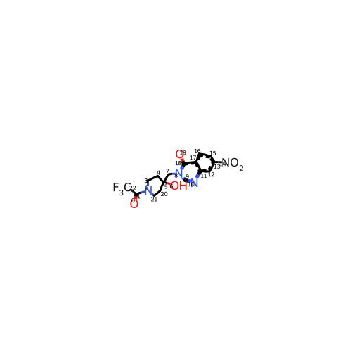 O=C(N1CCC(O)(Cn2cnc3cc([N+](=O)[O-])ccc3c2=O)CC1)C(F)(F)F